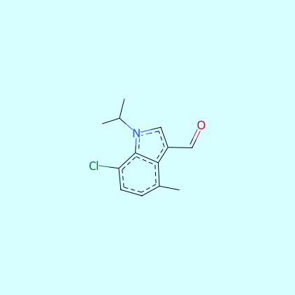 Cc1ccc(Cl)c2c1c(C=O)cn2C(C)C